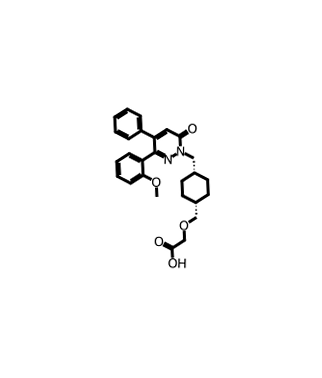 COc1ccccc1-c1nn(C[C@H]2CC[C@@H](COCC(=O)O)CC2)c(=O)cc1-c1ccccc1